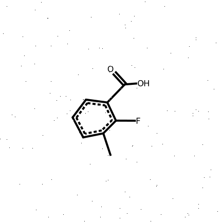 Cc1cc[c]c(C(=O)O)c1F